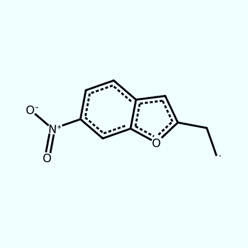 [CH2]Cc1cc2ccc([N+](=O)[O-])cc2o1